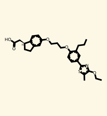 CCCc1cc(-c2nc(OCC)c(C)s2)ccc1OCCCOc1ccc2c(c1)CC[C@H]2CC(=O)O